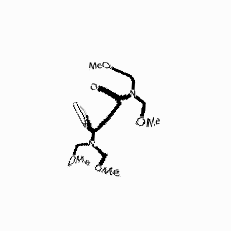 COCN(COC)C(=O)CC(=O)N(COC)COC